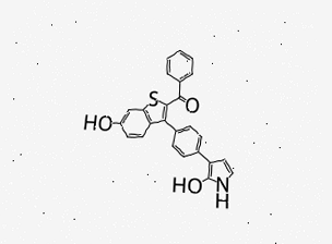 O=C(c1ccccc1)c1sc2cc(O)ccc2c1-c1ccc(-c2cc[nH]c2O)cc1